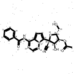 CC(=O)O[C@H]1[C@@H](O)[C@](C#N)(c2ccc3c(NC(=O)c4ccccc4)ncnn23)O[C@@H]1CO